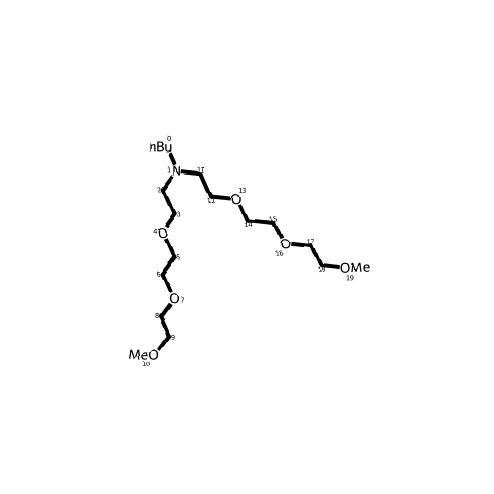 CCCCN(CCOCCOCCOC)CCOCCOCCOC